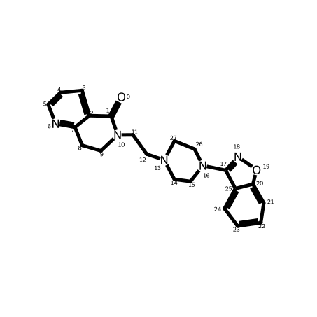 O=C1c2cccnc2CCN1CCN1CCN(c2noc3ccccc23)CC1